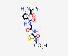 CC(C)[C@H](N)C(=O)N1CCC[C@H]1C(=O)NCC(=O)N[C@@H](CS)C(=O)NCC(=O)O